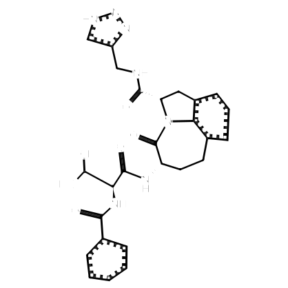 CC([C@H](NC(=O)c1ccccc1)C(=O)N[C@H]1CCc2cccc3c2N(C1=O)[C@H](C(=O)NCc1c[nH]nn1)C3)C(F)(F)F